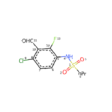 CCCS(=O)(=O)Nc1ccc(Cl)c([C]=O)c1F